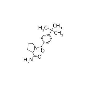 CC(C)(C)c1ccc(C(=O)N2CCCC2C(N)=O)cc1